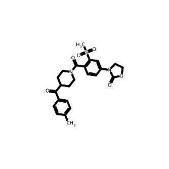 Cc1ccc(C(=O)C2CCN(C(=O)c3ccc(N4CCOC4=O)cc3S(C)(=O)=O)CC2)cc1